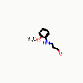 COc1ccccc1NCCC[O]